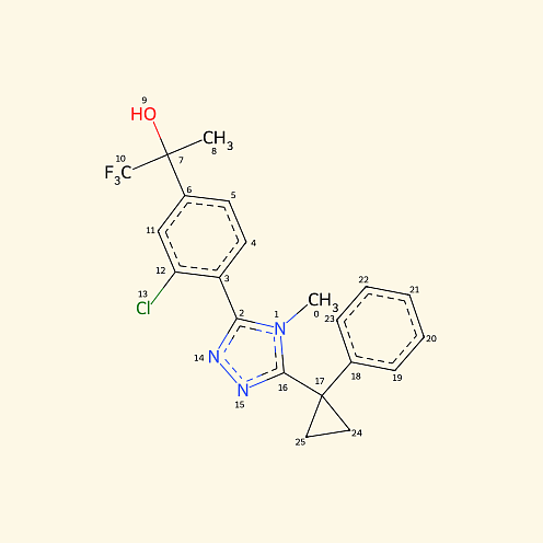 Cn1c(-c2ccc(C(C)(O)C(F)(F)F)cc2Cl)nnc1C1(c2ccccc2)CC1